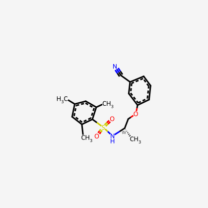 Cc1cc(C)c(S(=O)(=O)N[C@@H](C)COc2cccc(C#N)c2)c(C)c1